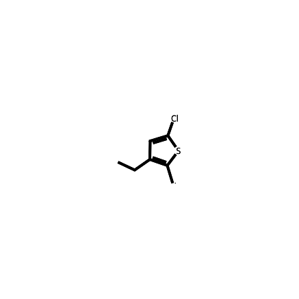 [CH2]c1sc(Cl)cc1CC